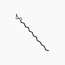 CCCCCCCCCCCCCCOOC